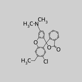 CCc1cc2c(cc1Cl)C1(OC(=O)c3ccccc31)c1ccc(N(C)C)cc1O2